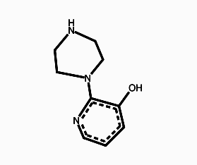 Oc1cccnc1N1CCNCC1